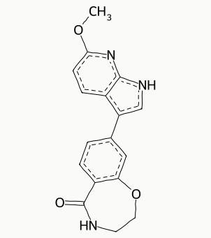 COc1ccc2c(-c3ccc4c(c3)OCCNC4=O)c[nH]c2n1